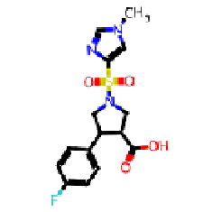 Cn1cnc(S(=O)(=O)N2CC(C(=O)O)C(c3ccc(F)cc3)C2)c1